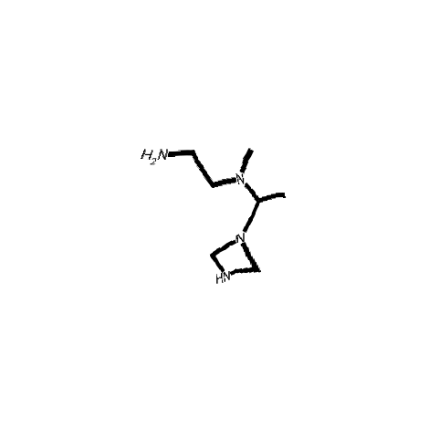 CC(N(C)CCN)N1CNC1